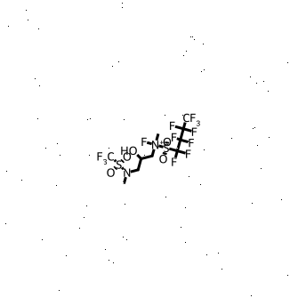 CN(CC(O)C[N+](C)(F)S(=O)(=O)C(F)(F)C(F)(F)C(F)(F)C(F)(F)F)S(=O)(=O)C(F)(F)F